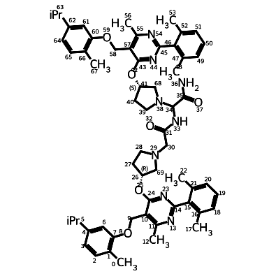 Cc1ccc(C(C)C)cc1OCc1c(C)nc(-c2c(C)cccc2C)nc1O[C@@H]1CCN(CC(=O)NC(C(N)=O)N2CC[C@H](Oc3nc(-c4c(C)cccc4C)nc(C)c3COc3cc(C(C)C)ccc3C)C2)C1